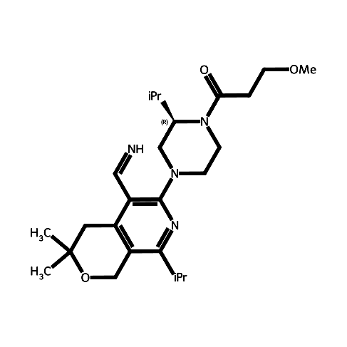 COCCC(=O)N1CCN(c2nc(C(C)C)c3c(c2C=N)CC(C)(C)OC3)C[C@H]1C(C)C